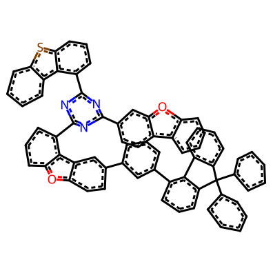 c1ccc(C2(c3ccccc3)c3ccccc3-c3c(-c4cccc(-c5ccc6oc7cccc(-c8nc(-c9ccc%10c(c9)oc9ccccc9%10)nc(-c9cccc%10sc%11ccccc%11c9%10)n8)c7c6c5)c4)cccc32)cc1